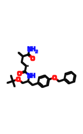 CC(C[CH]C(=O)NC(COC(C)(C)C)Cc1ccc(OCc2ccccc2)cc1)C(N)=O